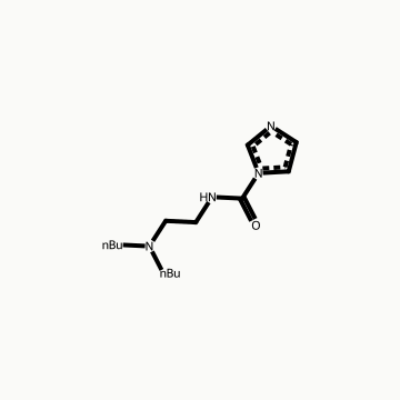 CCCCN(CCCC)CCNC(=O)n1ccnc1